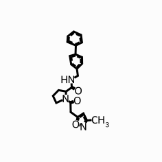 Cc1cc(CC(=O)N2CCCC2C(=O)NCc2ccc(-c3ccccc3)cc2)on1